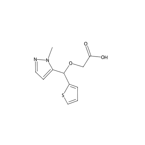 Cn1nccc1C(OCC(=O)O)c1cccs1